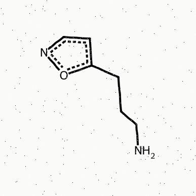 NCCCc1ccno1